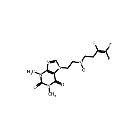 Cn1c(=O)c2c(ncn2CC[S+]([O-])CCC(F)=C(F)F)n(C)c1=O